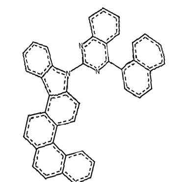 c1ccc2c(-c3nc(-n4c5ccccc5c5c6ccc7ccc8ccccc8c7c6ccc54)nc4ccccc34)cccc2c1